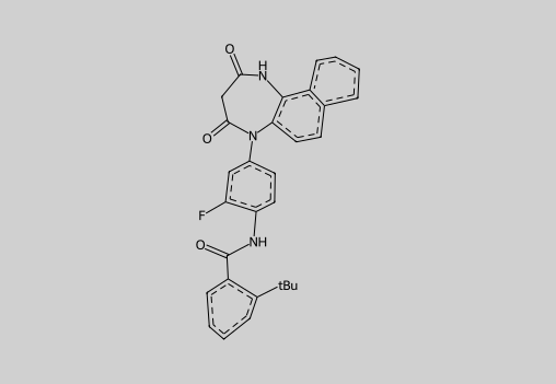 CC(C)(C)c1ccccc1C(=O)Nc1ccc(N2C(=O)CC(=O)Nc3c2ccc2ccccc32)cc1F